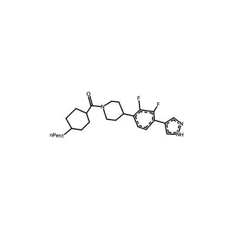 CCCCCC1CCC(C(=O)N2CCC(c3ccc(-c4cn[nH]c4)c(F)c3F)CC2)CC1